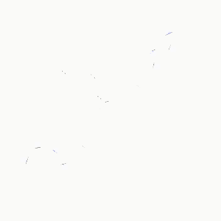 CCCCC/C=C\C/C=C\C/C=C\C/C=C\CCCC(=O)OCCCCCC(CCCCCOC(=O)CCC/C=C\C/C=C\C/C=C\C/C=C\CCCCC)OC(=O)NCCCN(C)CCCCN(C)C